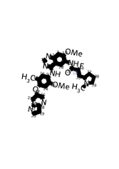 COc1cc2ncnc(Nc3cc(C)c(Oc4cnc5ccnn5c4)cc3OC)c2cc1NC(=O)/C(F)=C/C1CCCN1C